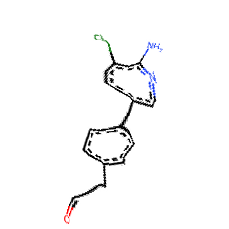 Nc1ncc(-c2ccc(CC=O)cc2)cc1Cl